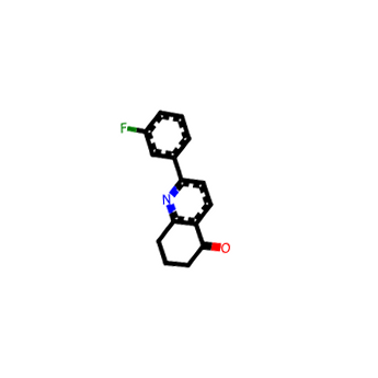 O=C1CCCc2nc(-c3cccc(F)c3)ccc21